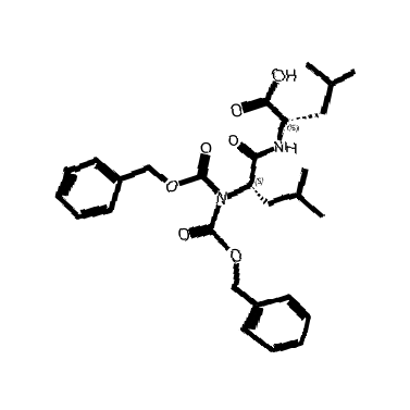 CC(C)C[C@H](NC(=O)[C@H](CC(C)C)N(C(=O)OCc1ccccc1)C(=O)OCc1ccccc1)C(=O)O